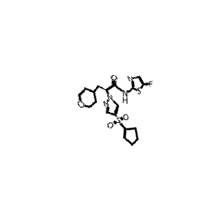 O=C(Nc1ncc(F)s1)[C@H](CC1CCOCC1)n1cc(S(=O)(=O)C2CCCC2)cn1